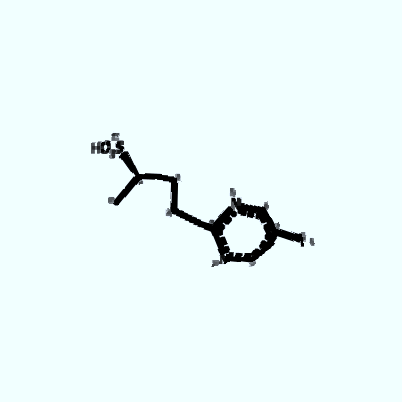 C[C@H](CCc1ncc(F)cn1)S(=O)(=O)O